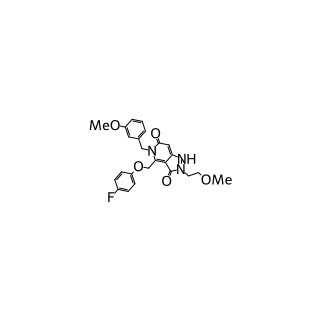 COCCn1[nH]c2cc(=O)n(Cc3cccc(OC)c3)c(COc3ccc(F)cc3)c2c1=O